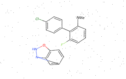 CNc1cccc(F)c1-c1ccc(Cl)cc1.c1cc2cc3c1o[nH]n2-3